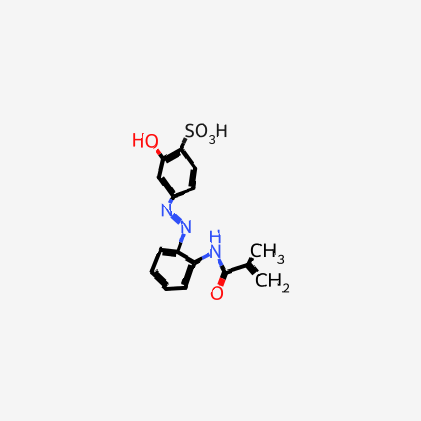 C=C(C)C(=O)Nc1ccccc1N=Nc1ccc(S(=O)(=O)O)c(O)c1